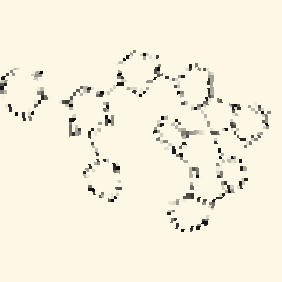 c1ccc2c(c#1)-c1ccc(-c3cccc(-c4cc(-c5ccccc5)nc(-c5ccccc5)n4)c3)cc1C21c2ccccc2-n2c3ccccc3c3cccc1c32